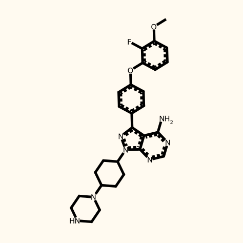 COc1cccc(Oc2ccc(-c3nn(C4CCC(N5CCNCC5)CC4)c4ncnc(N)c34)cc2)c1F